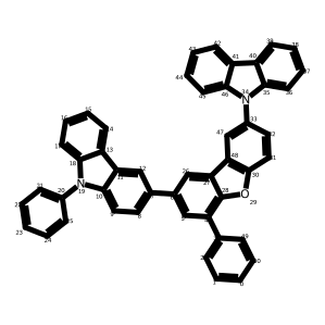 c1ccc(-c2cc(-c3ccc4c(c3)c3ccccc3n4-c3ccccc3)cc3c2oc2ccc(-n4c5ccccc5c5ccccc54)cc23)cc1